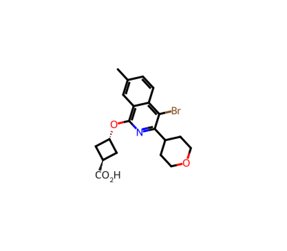 Cc1ccc2c(Br)c(C3CCOCC3)nc(O[C@H]3C[C@H](C(=O)O)C3)c2c1